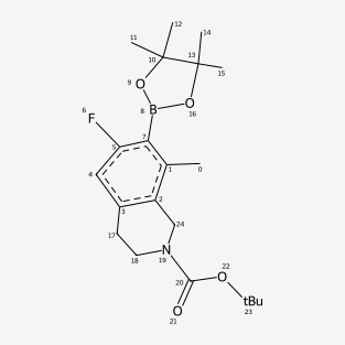 Cc1c2c(cc(F)c1B1OC(C)(C)C(C)(C)O1)CCN(C(=O)OC(C)(C)C)C2